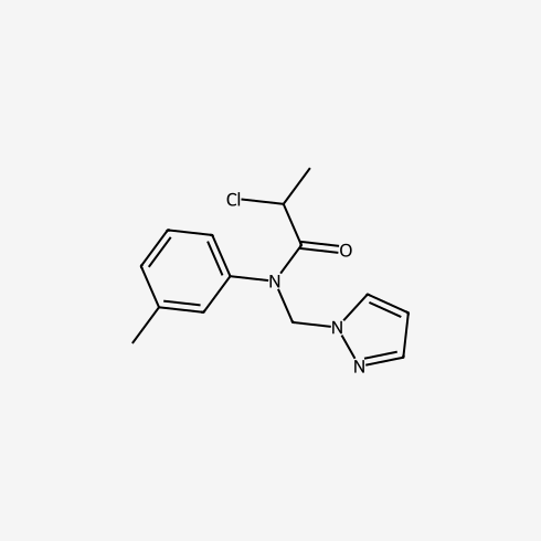 Cc1cccc(N(Cn2cccn2)C(=O)C(C)Cl)c1